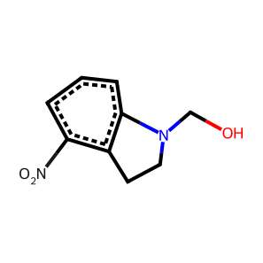 O=[N+]([O-])c1cccc2c1CCN2CO